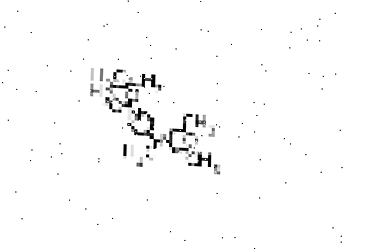 CC(C1CCN(C(=O)OC(C)(C)C)CC1)N1C[C@@H](C)O[C@@H](C)C1